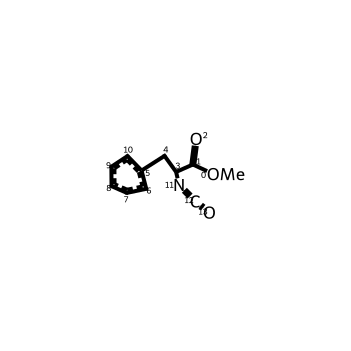 COC(=O)C(Cc1ccccc1)N=C=O